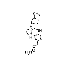 Cc1ccc([C@@H]2Nc3ccc(SOON)cc3[C@@H]3C=CC[C@@H]32)cc1